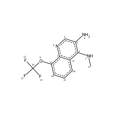 CNc1c(N)cnc2c(OC(F)(F)F)cccc12